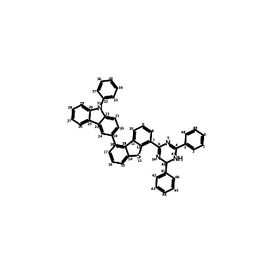 c1ccc(C2=NC(c3cccc4c3sc3cccc(-c5ccc6c(c5)c5ccccc5n6-c5ccccc5)c34)=NC(c3ccccc3)N2)cc1